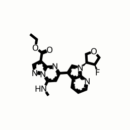 CCOC(=O)c1cnn2c(NC)cc(-c3cn([C@H]4COC[C@H]4F)c4ncccc34)nc12